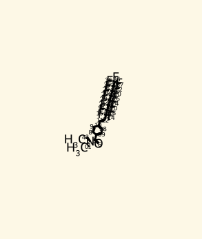 CCN(CC)C(=O)c1ccc(C=CC(F)(F)C(F)(F)C(F)(F)C(F)(F)C(F)(F)C(F)(F)C(F)(F)C(F)(F)F)cc1